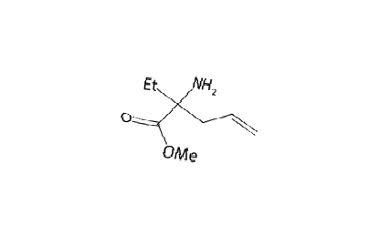 C=CCC(N)(CC)C(=O)OC